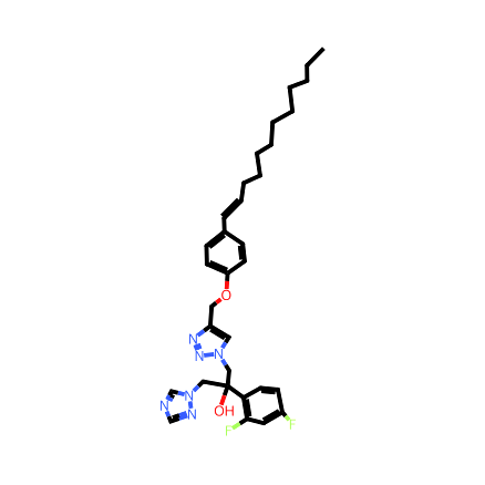 CCCCCCCCCCC=Cc1ccc(OCc2cn(CC(O)(Cn3cncn3)c3ccc(F)cc3F)nn2)cc1